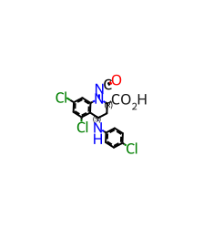 O=C=NN1c2cc(Cl)cc(Cl)c2[C@@H](Nc2ccc(Cl)cc2)C[C@@H]1C(=O)O